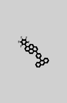 Fc1c(F)c(F)c(-c2ccc3ccc4c(-c5ccc(-c6c7ccccc7cc7ccccc67)cc5)ccc5ccc2c3c54)c(F)c1F